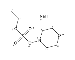 CCOS(=O)(=O)ON1CCOCC1.[NaH]